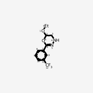 CCOC1CNN=C(c2cccc(C(F)(F)F)c2)O1